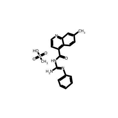 CS(=O)(=O)O.Cc1ccc2c(C(=O)NC(N)=Nc3ccccc3)ccnc2c1